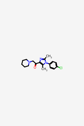 Cc1nc(C(=O)CN2CCCCC2)c(C)n1-c1ccc(Cl)cc1